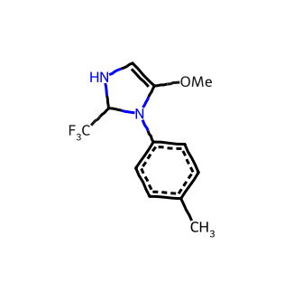 COC1=CNC(C(F)(F)F)N1c1ccc(C)cc1